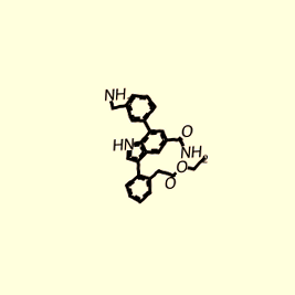 CCOC(=O)Cc1ccccc1-c1c[nH]c2c(-c3cccc(CN)c3)cc(C(N)=O)cc12